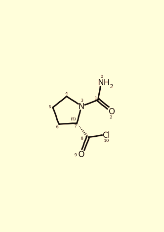 NC(=O)N1CCC[C@H]1C(=O)Cl